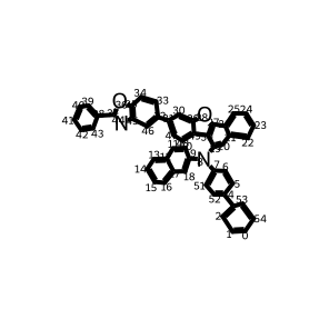 c1ccc(-c2ccc(N(c3ccc4ccccc4c3)c3cc4ccccc4c4oc5cc(-c6ccc7oc(-c8ccccc8)nc7c6)ccc5c34)cc2)cc1